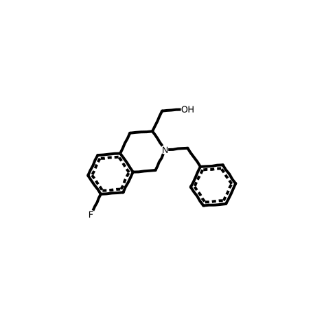 OCC1Cc2ccc(F)cc2CN1Cc1ccccc1